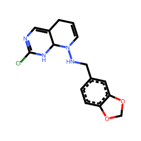 ClC1=NC=C2CC=CN(NCc3ccc4c(c3)OCO4)C2N1